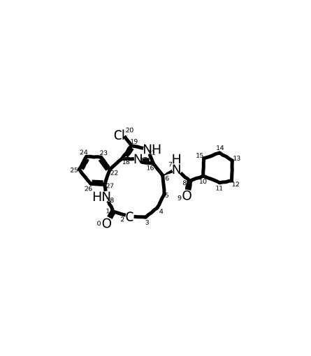 O=C1CCCC[C@H](NC(=O)C2CCCCC2)c2nc(c(Cl)[nH]2)-c2ccccc2N1